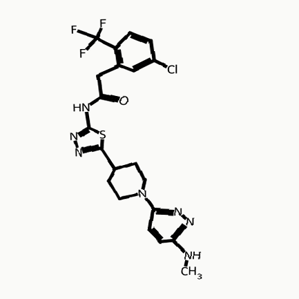 CNc1ccc(N2CCC(c3nnc(NC(=O)Cc4cc(Cl)ccc4C(F)(F)F)s3)CC2)nn1